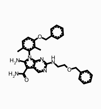 Cc1ccc(OCc2ccccc2)c(C)c1-n1c(N)c(C(N)=O)c2cnc(NCCOCc3ccccc3)nc21